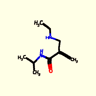 C=C(CNCC)C(=O)NC(C)C